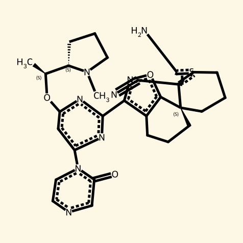 C[C@H](Oc1cc(-n2ccncc2=O)nc(-c2noc3c2CCC[C@@]32CCCc3sc(N)c(C#N)c32)n1)[C@@H]1CCCN1C